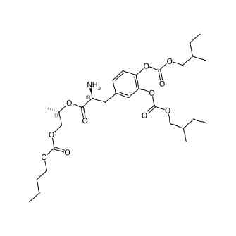 CCCCOC(=O)OC[C@H](C)OC(=O)[C@@H](N)Cc1ccc(OC(=O)OCC(C)CC)c(OC(=O)OCC(C)CC)c1